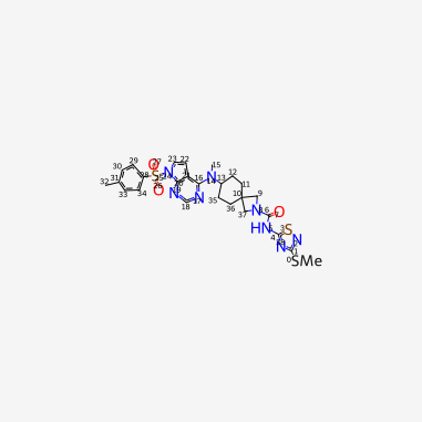 CSc1nsc(NC(=O)N2CC3(CCC(N(C)c4ncnc5c4ccn5S(=O)(=O)c4ccc(C)cc4)CC3)C2)n1